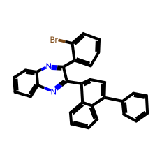 Brc1ccccc1-c1nc2ccccc2nc1-c1ccc(-c2ccccc2)c2ccccc12